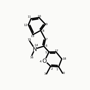 CC1=C(C)OC(C(=Cc2ccccc2)N(C)C)=CC1